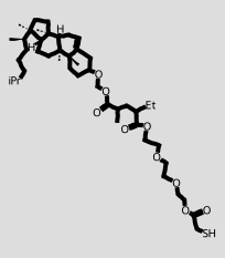 CCC(CC(C)C(=O)OCOC1CC[C@@]2(C)C(=CC[C@H]3[C@]4(C)CC[C@](C)([C@H](C)CCCC(C)C)[C@H]4CC[C@@]32C)C1)C(=O)OCCOCCOCCOC(=O)CS